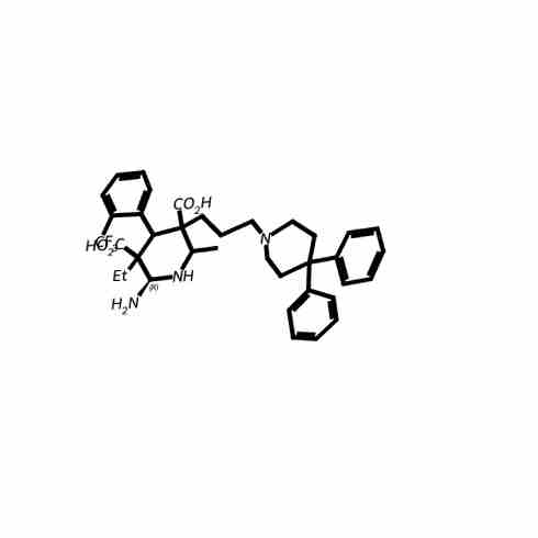 CCC1(C(=O)O)C(c2ccccc2C(F)(F)F)C(CCCN2CCC(c3ccccc3)(c3ccccc3)CC2)(C(=O)O)C(C)N[C@H]1N